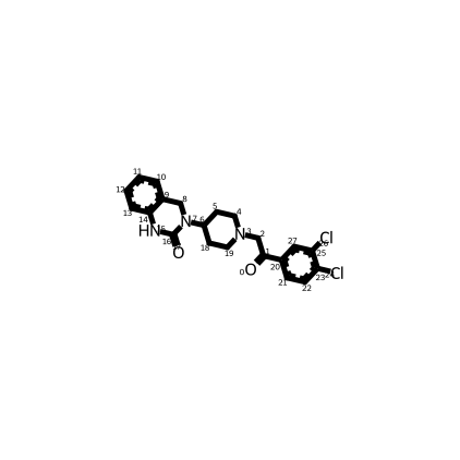 O=C(CN1CCC(N2Cc3ccccc3NC2=O)CC1)c1ccc(Cl)c(Cl)c1